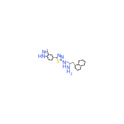 Cc1n[nH]c2ccc(-c3nnc(NCC(N)Cc4cccc5ccccc45)s3)cc12